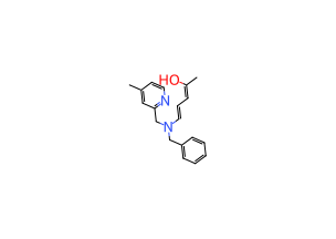 CC(O)=CC=CN(Cc1ccccc1)Cc1cc(C)ccn1